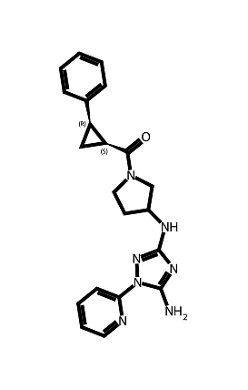 Nc1nc(NC2CCN(C(=O)[C@H]3C[C@H]3c3ccccc3)C2)nn1-c1ccccn1